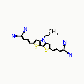 CCCn1c2cc(/C=C/C=C(C#N)C#N)sc2c2sc(/C=C/C=C(C#N)C#N)cc21